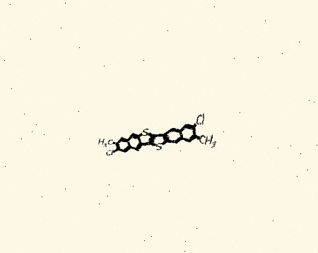 Cc1cc2cc3sc4c5cc6cc(Cl)c(C)cc6cc5sc4c3cc2cc1Cl